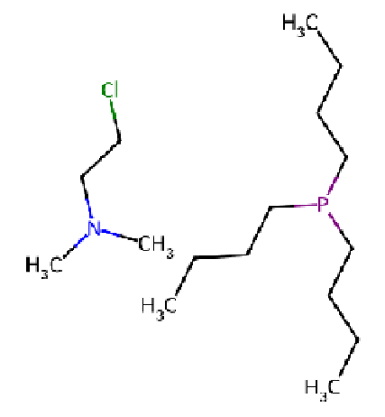 CCCCP(CCCC)CCCC.CN(C)CCCl